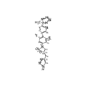 CC1(c2ccc(-c3c(F)cc(N4C[C@@H](Cc5c[nH]nn5)OC4=O)cc3F)cn2)N=NN=N1